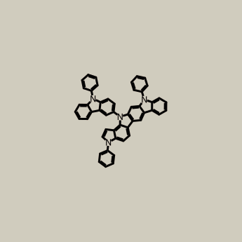 c1ccc(-n2ccc3c2ccc2c4cc5c6ccccc6n(-c6ccccc6)c5cc4n(-c4ccc5c(c4)c4ccccc4n5-c4ccccc4)c23)cc1